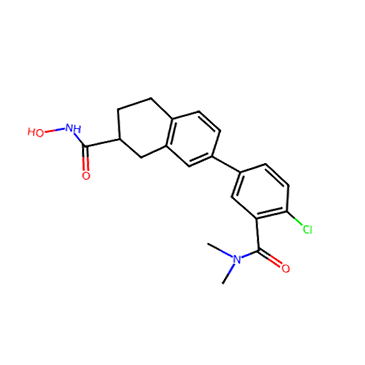 CN(C)C(=O)c1cc(-c2ccc3c(c2)CC(C(=O)NO)CC3)ccc1Cl